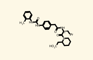 Cc1ccccc1NC(=O)Nc1c#cc(CC(=O)N[C@@H](CC(C)C)C(=O)N2CCCCC2CC(=O)O)cc1